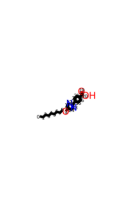 CCCCCCCCCOc1cnc(-c2ccc(C(=O)O)cc2)nc1